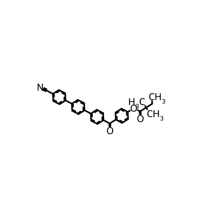 CCC(C)(C)C(=O)Oc1ccc(C(=O)c2ccc(-c3ccc(-c4ccc(C#N)cc4)cc3)cc2)cc1